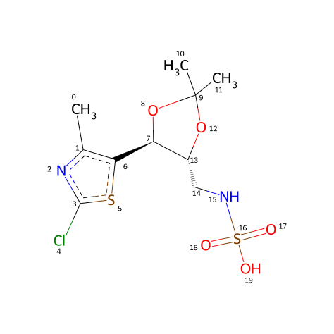 Cc1nc(Cl)sc1[C@H]1OC(C)(C)O[C@@H]1CNS(=O)(=O)O